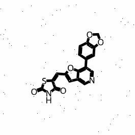 O=C1NC(=O)/C(=C\c2cc3cncc(-c4ccc5c(c4)OCO5)c3o2)S1